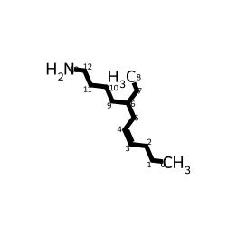 CCC/C=C\CC(CC)CCCCN